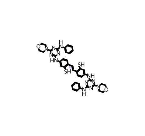 Sc1cc(Nc2nc(Nc3ccccc3)nc(N3CCOCC3)n2)ccc1/C=C/c1ccc(Nc2nc(Nc3ccccc3)nc(N3CCOCC3)n2)cc1S